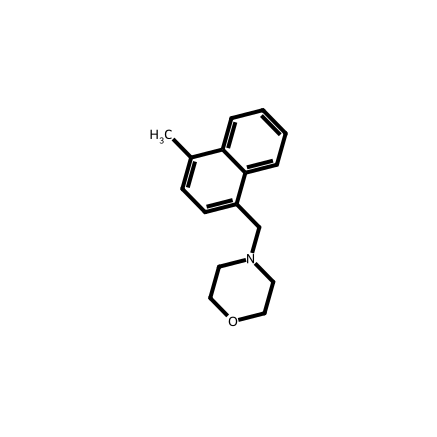 Cc1ccc(CN2CCOCC2)c2ccccc12